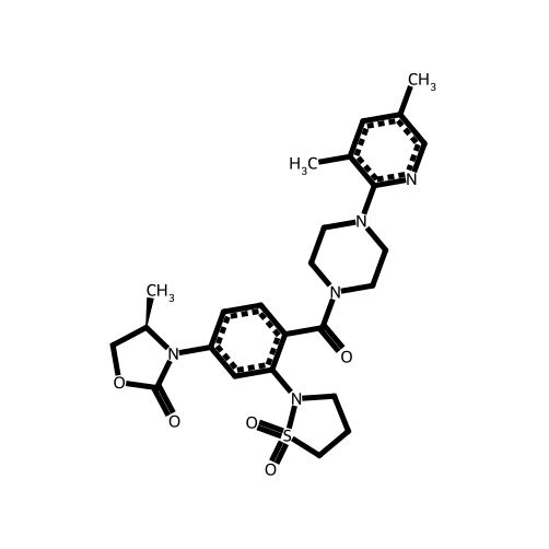 Cc1cnc(N2CCN(C(=O)c3ccc(N4C(=O)OC[C@H]4C)cc3N3CCCS3(=O)=O)CC2)c(C)c1